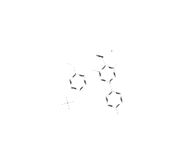 COc1cc(OC(F)(F)F)ccc1Oc1cc(-c2ccc(F)cc2)cc(F)c1C(=O)O